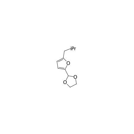 CC(C)Cc1ccc(C2OCCO2)o1